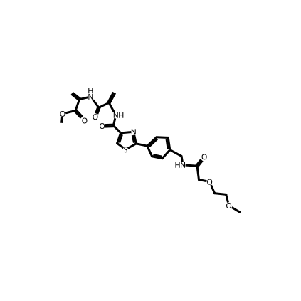 C=C(NC(=O)c1csc(-c2ccc(CNC(=O)COCCOC)cc2)n1)C(=O)NC(=C)C(=O)OC